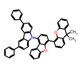 CC1(C)c2ccccc2Oc2c(-c3ccc(-n4c5ccc(-c6ccccc6)cc5c5cc(-c6ccccc6)ccc54)c4c3oc3ccccc34)cccc21